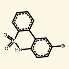 O=S1(=O)Nc2ccc(Br)cc2-c2ccccc21